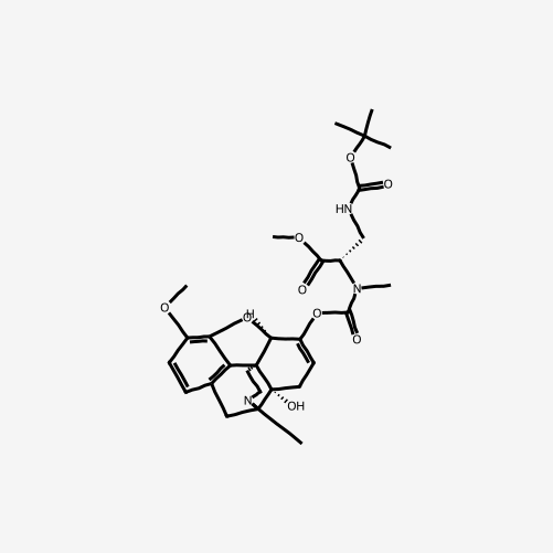 COC(=O)[C@H](CNC(=O)OC(C)(C)C)N(C)C(=O)OC1=CC[C@@]2(O)C3Cc4ccc(OC)c5c4[C@@]2(CCN3C)[C@H]1O5